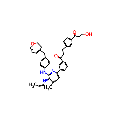 C/C=C\N=c1/c(C)ccc(-c2cccc(C(=O)CCc3ccc(C(=O)CCO)cc3)c2)nc1Nc1ccc(CC2=CCCOCC2)cc1